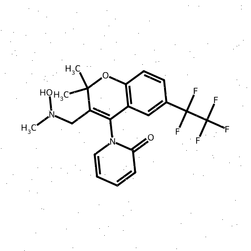 CN(O)CC1=C(n2ccccc2=O)c2cc(C(F)(F)C(F)(F)F)ccc2OC1(C)C